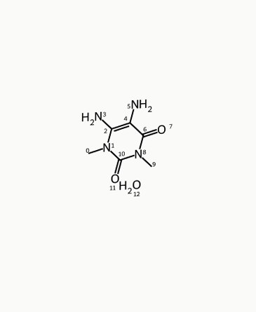 Cn1c(N)c(N)c(=O)n(C)c1=O.O